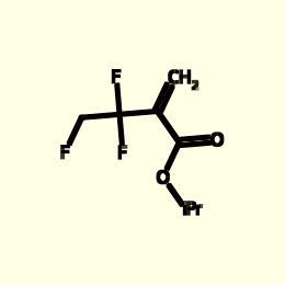 C=C(C(=O)OC(C)C)C(F)(F)CF